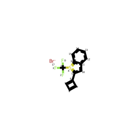 FC(F)(F)[s+]1c(C2=CC=C2)cc2ccccc21.[Br-]